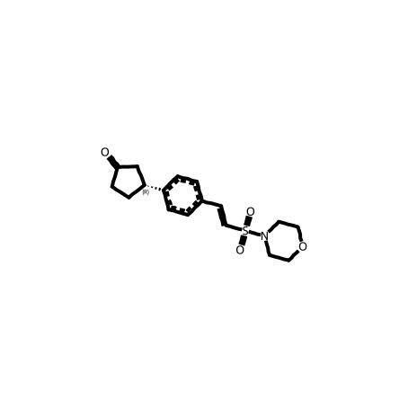 O=C1CC[C@@H](c2ccc(C=CS(=O)(=O)N3CCOCC3)cc2)C1